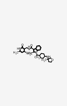 CSc1cc(C)[nH]c(=O)c1CNC(=O)c1c(C)n(C(C)C2CCC(NC3(C)CCOC3)CC2)c2ccccc12